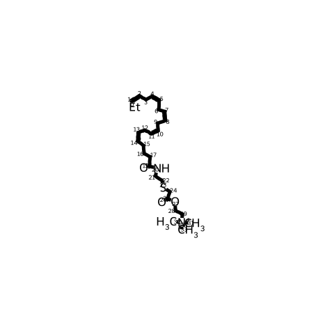 CC/C=C\C/C=C\C/C=C\C/C=C\C/C=C\CCCC(=O)NCCSCC(=O)OCC[N+](C)(C)C